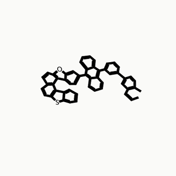 C/C=C\c1cc(-c2cccc(-c3c4ccccc4c(-c4ccc5c(c4)oc4ccc6ccc7sc8ccccc8c7c6c45)c4ccccc34)c2)ccc1C